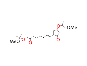 COCC(C)OC1C=C(C=CCCCCC(=O)COC(C)(C)OC)C(=O)C1